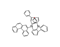 c1ccc(-c2cccc(N(c3cc4ccc5ccccc5c4c4ccccc34)c3cccc4c5ccccc5n(-c5ccccc5)c34)c2)cc1